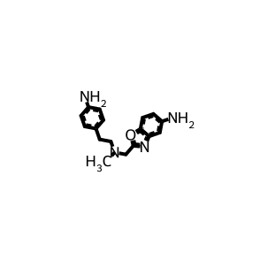 CN(CCc1ccc(N)cc1)Cc1nc2cc(N)ccc2o1